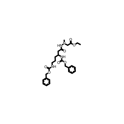 CCOC(=O)CN(C)NC(=O)CC(CCCNC(=O)OCc1ccccc1)NC(=O)OCc1ccccc1